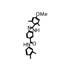 COc1cc(C)c(-c2nc3ccc(C(=O)Nc4ccc(C)c(C)c4)cc3[nH]2)c(C)c1